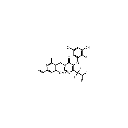 C=Cc1nc(C)c(Cn2cnc(C(F)(F)C(F)F)c(Oc3cc(Cl)cc(C#N)c3F)c2=O)c(OC)n1